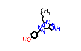 CCCCc1nc2n[nH]cc2c2nc(-c3ccc(O)cc3)nn12